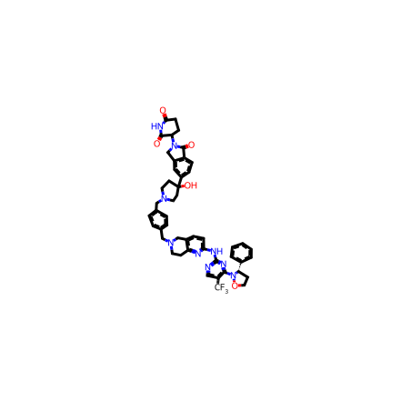 O=C1CCC(N2Cc3cc(C4(O)CCN(Cc5ccc(CN6CCc7nc(Nc8ncc(C(F)(F)F)c(N9OCC[C@H]9c9ccccc9)n8)ccc7C6)cc5)CC4)ccc3C2=O)C(=O)N1